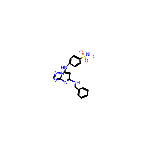 NS(=O)(=O)c1ccc(Nc2cc(NCc3ccccc3)nc3ncnn23)cc1